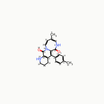 CC1=CNC(=O)c2c(-c3ccc(C)cc3)c3c(c(=O)n2C=C1)NCCC3